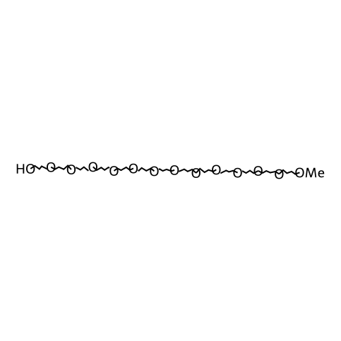 COCCCCOCCCCOCCCCOCCCCOCCCCOCCCCOCCCCOCCCCOCCCCOCCCCOCCCCOCCCCOCCCCO